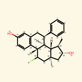 C[C@@H]1[C@H]2[C@@H]3[C@H](c4ccccc4)Cc4cc(O)ccc4[C@H]3C(F)C[C@]2(C)C[C@H]1O